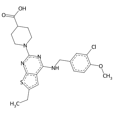 CCc1cc2c(NCc3ccc(OC)c(Cl)c3)nc(N3CCC(C(=O)O)CC3)nc2s1